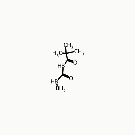 BBC(=O)BC(=O)C(C)(C)C